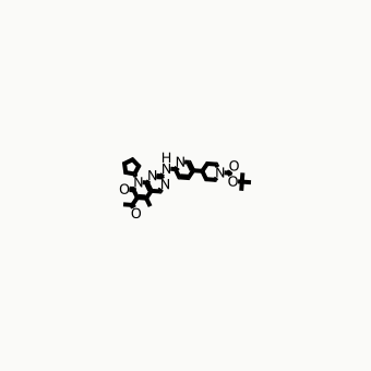 CC(=O)c1c(C)c2cnc(Nc3ccc(C4CCN(C(=O)OC(C)(C)C)CC4)cn3)nc2n(C2CCCC2)c1=O